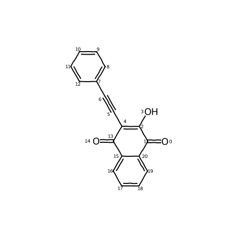 O=C1C(O)=C(C#Cc2ccccc2)C(=O)c2ccccc21